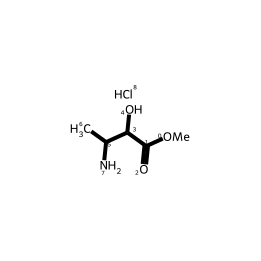 COC(=O)C(O)C(C)N.Cl